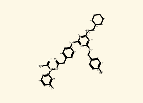 NC(=S)N(NC(=O)Cc1ccc(Nc2nc(NCc3ccc(F)cc3)nc(NCC3CCCCC3)n2)cc1)c1cccc(F)c1